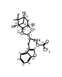 CC1(C)[C@@H]2C[C@H]3OB(C(Cc4coc5ccccc45)NOC(=O)C(F)(F)F)O[C@@]3(C)[C@H]1C2